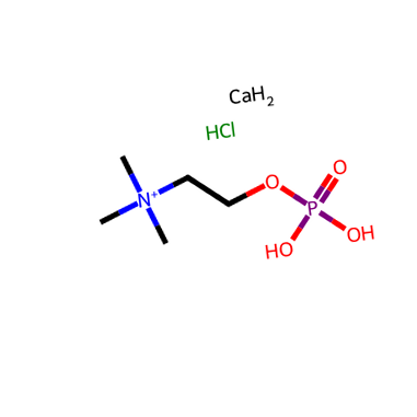 C[N+](C)(C)CCOP(=O)(O)O.Cl.[CaH2]